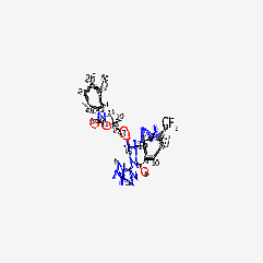 Cn1nnnc1NC(=O)c1ccc(C(F)(F)F)nc1COCC1(C)CN(c2ccccc2)C(=O)O1